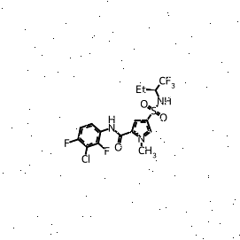 CC[C@H](NS(=O)(=O)c1cc(C(=O)Nc2ccc(F)c(Cl)c2F)n(C)c1)C(F)(F)F